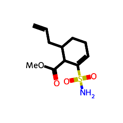 C=CCC1CCC=C(S(N)(=O)=O)C1C(=O)OC